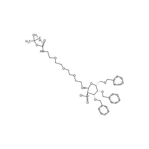 CC(C)(C)OC(=O)NCCOCCOCCOCCO[C@H]1O[C@H](COCc2ccccc2)[C@H](OCc2ccccc2)[C@H](OCc2ccccc2)[C@H]1[N+](=O)[O-]